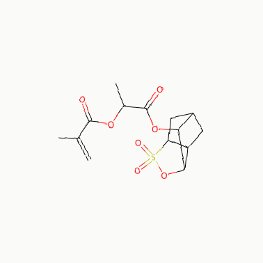 C=C(C)C(=O)OC(C)C(=O)OC1C2CC3C1OS(=O)(=O)C3C2